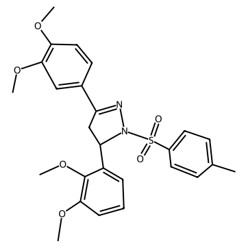 COc1ccc(C2=NN(S(=O)(=O)c3ccc(C)cc3)C(c3cccc(OC)c3OC)C2)cc1OC